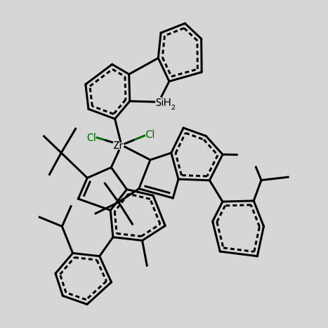 Cc1ccc2c(c1-c1ccccc1C(C)C)C=C(C(C)(C)C)[CH]2[Zr]([Cl])([Cl])([c]1cccc2c1[SiH2]c1ccccc1-2)[CH]1C(C(C)(C)C)=Cc2c1ccc(C)c2-c1ccccc1C(C)C